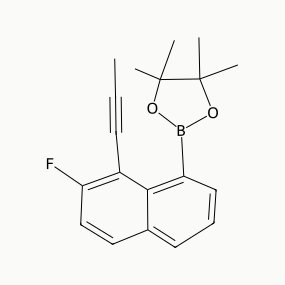 CC#Cc1c(F)ccc2cccc(B3OC(C)(C)C(C)(C)O3)c12